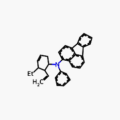 C=CC1C(CC)C=CCC1N(c1ccccc1)c1ccc2c3c(cccc13)-c1ccccc1-2